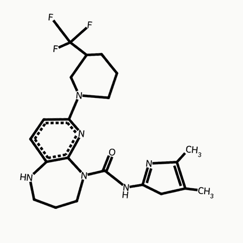 CC1=C(C)N=C(NC(=O)N2CCCNc3ccc(N4CCCC(C(F)(F)F)C4)nc32)C1